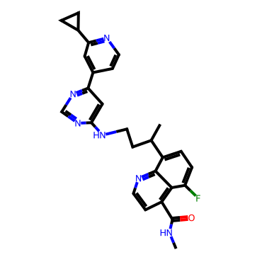 CNC(=O)c1ccnc2c(C(C)CCNc3cc(-c4ccnc(C5CC5)c4)ncn3)ccc(F)c12